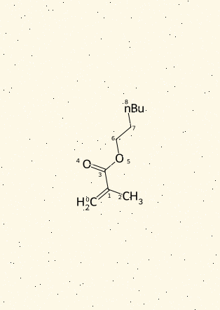 C=C(C)C(=O)O[CH]CCCCC